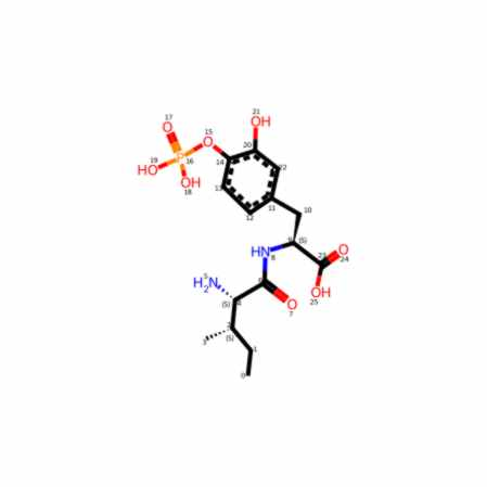 CC[C@H](C)[C@H](N)C(=O)N[C@@H](Cc1ccc(OP(=O)(O)O)c(O)c1)C(=O)O